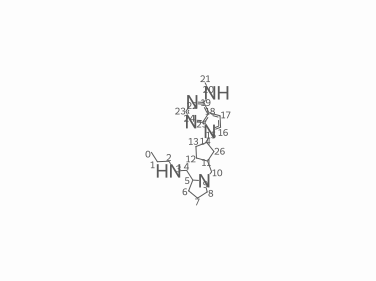 CCCNCC1CCCN1CC1CCC(n2ccc3c(NC)ncnc32)C1